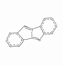 C1=C2C(=Nc3ccccc32)c2ccccc21